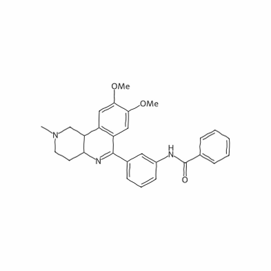 COc1cc2c(cc1OC)C1CN(C)CCC1N=C2c1cccc(NC(=O)c2ccccc2)c1